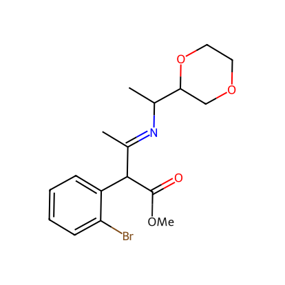 COC(=O)C(/C(C)=N/C(C)C1COCCO1)c1ccccc1Br